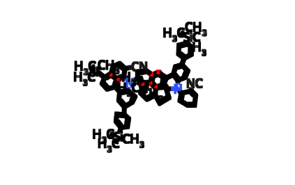 [C-]#[N+]c1ccccc1N(C1=C2C=CC3=C4C(=CC=C(C=C1)C24)C(N(c1ccccc1C#N)c1ccc(-c2ccc([Si](C)(C)C)cc2)cc1-c1ccc([Si](C)(C)C)cc1)C=C3)c1ccc(-c2ccc([Si](C)(C)C)cc2)cc1-c1ccc([Si](C)(C)C)cc1